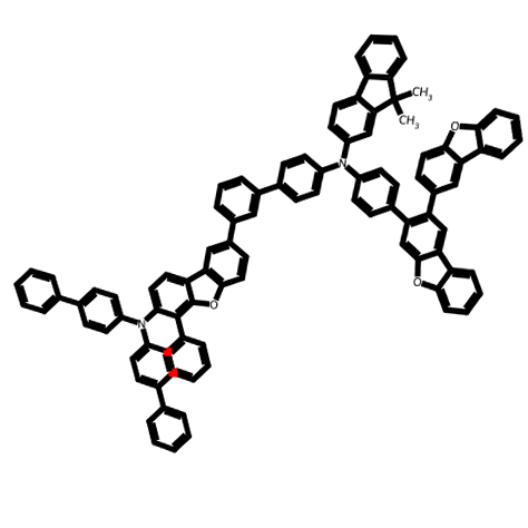 CC1(C)c2ccccc2-c2ccc(N(c3ccc(-c4cccc(-c5ccc6oc7c(-c8ccccc8)c(N(c8ccc(-c9ccccc9)cc8)c8ccc(-c9ccccc9)cc8)ccc7c6c5)c4)cc3)c3ccc(-c4cc5oc6ccccc6c5cc4-c4ccc5oc6ccccc6c5c4)cc3)cc21